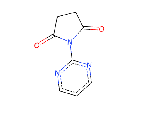 O=C1CCC(=O)N1c1ncccn1